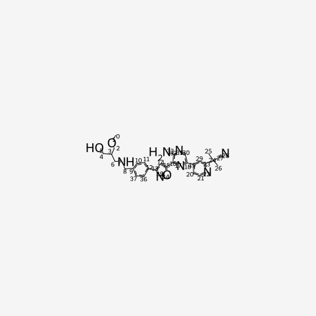 COCC(CO)CNCc1ccc(-c2cc(-c3nc(-c4ccnc(C(C)(C)C#N)c4)cnc3N)on2)cc1